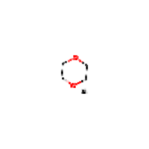 C1COCCO1.[Si]